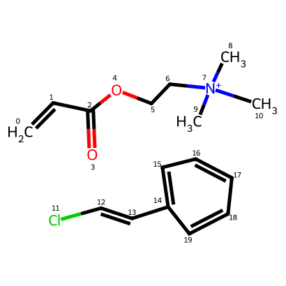 C=CC(=O)OCC[N+](C)(C)C.ClC=Cc1ccccc1